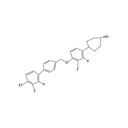 CCCC1CCC(c2ccc(OCc3ccc(-c4ccc(CC)c(F)c4F)cc3)c(F)c2F)CC1